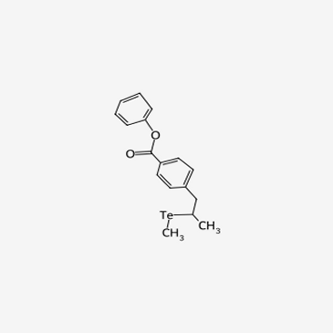 C[Te]C(C)Cc1ccc(C(=O)Oc2ccccc2)cc1